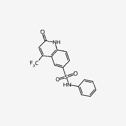 O=c1cc(C(F)(F)F)c2cc(S(=O)(=O)Nc3ccccc3)ccc2[nH]1